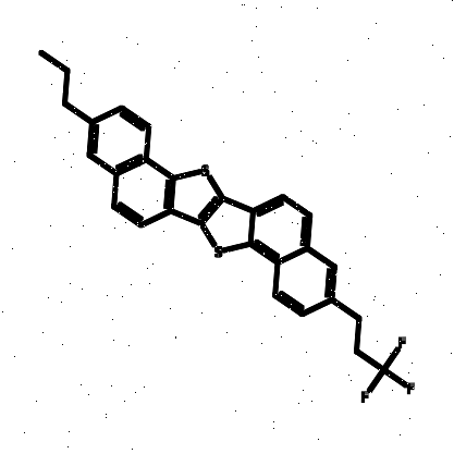 CCCc1ccc2c(ccc3c2sc2c4ccc5cc(CCC(F)(F)F)ccc5c4sc32)c1